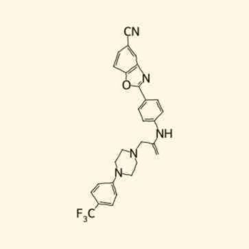 C=C(CN1CCN(c2ccc(C(F)(F)F)cc2)CC1)Nc1ccc(-c2nc3cc(C#N)ccc3o2)cc1